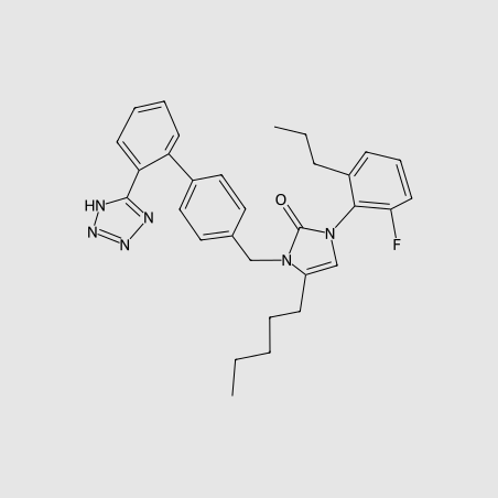 CCCCCc1cn(-c2c(F)cccc2CCC)c(=O)n1Cc1ccc(-c2ccccc2-c2nnn[nH]2)cc1